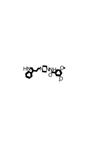 COc1cc(OC)cc(C(=O)NN2CCN(CCc3c[nH]c4ccccc34)CC2)c1